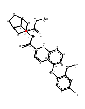 CC(C)Oc1cc(F)ccc1Nc1ncnc2c1C=C=C(C(=O)NC1CC3CCC(C1)C3CC(=O)OC(C)(C)C)S2